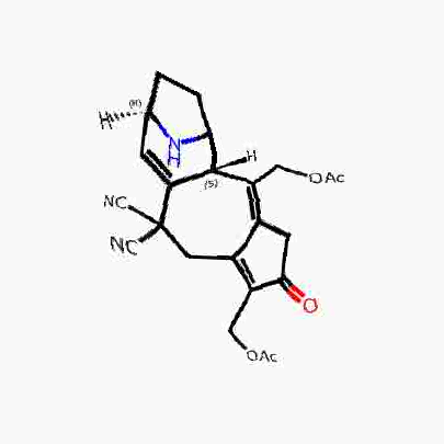 CC(=O)OCC1=C2CC(C#N)(C#N)C3=C[C@H]4CCC(N4)[C@@H]3C(COC(C)=O)=C2CC1=O